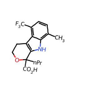 CCCC1(C(=O)O)OCCc2c1[nH]c1c(C)ccc(C(F)(F)F)c21